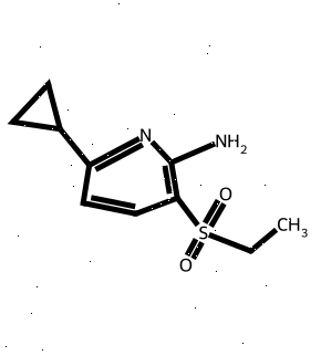 CCS(=O)(=O)c1ccc(C2CC2)nc1N